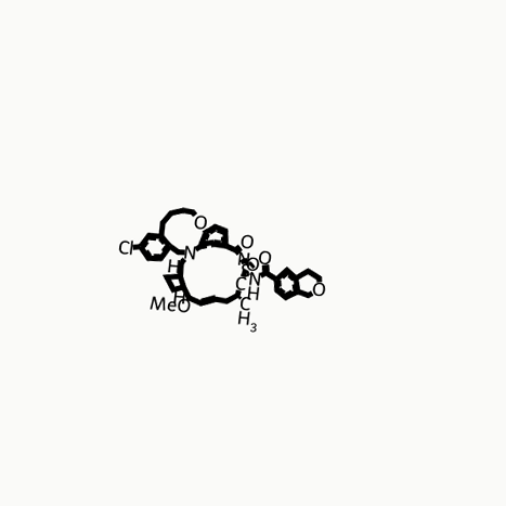 CO[C@H]1/C=C/C[C@H](C)CS(=O)(NC(=O)c2ccc3c(c2)CCOC3)=NC(=O)c2ccc3c(c2)N(Cc2ccc(Cl)cc2CCCCO3)C[C@@H]2CC[C@H]21